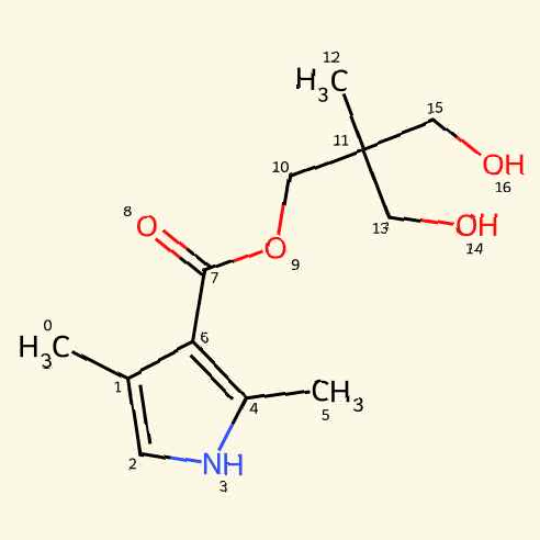 Cc1c[nH]c(C)c1C(=O)OCC(C)(CO)CO